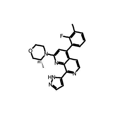 Cc1cccc(-c2cc(N3CCOC[C@H]3C)nc3c(-c4ccn[nH]4)nccc23)c1F